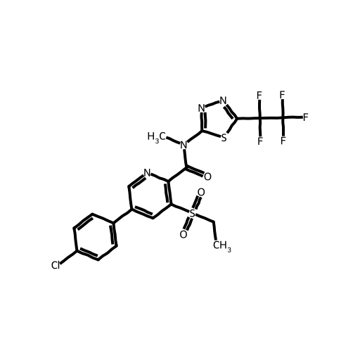 CCS(=O)(=O)c1cc(-c2ccc(Cl)cc2)cnc1C(=O)N(C)c1nnc(C(F)(F)C(F)(F)F)s1